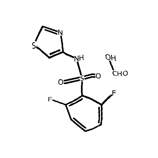 O=CO.O=S(=O)(Nc1cscn1)c1c(F)cccc1F